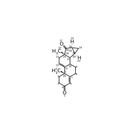 C[C@]12CCC(=O)C=C1CCC1C2=CC[C@]2(C)C(=O)[C@H]3C[C@H]3C12